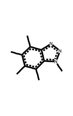 Cc1c(C)c(C)c2c(nnn2C)c1C